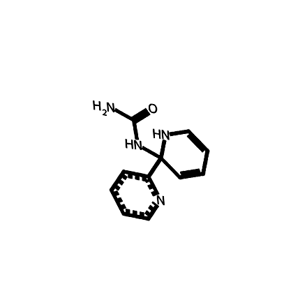 NC(=O)NC1(c2ccccn2)C=CC=CN1